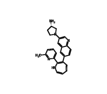 Cc1cccc(C2=C(c3ccc4ncc(N5CC[C@H](N)C5)cc4c3)C=CC=CN2)n1